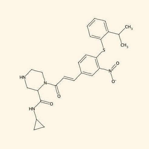 CC(C)c1ccccc1Sc1ccc(C=CC(=O)N2CCNCC2C(=O)NC2CC2)cc1[N+](=O)[O-]